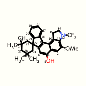 COc1cc2c(O)cc3c(c2c2c1N(C(F)(F)F)CC2)-c1ccccc1C31CC(C)(C)CC(C)(C)C1